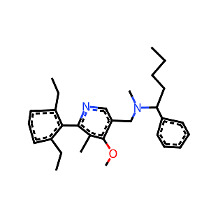 CCCCC(c1ccccc1)N(C)Cc1cnc(-c2c(CC)cccc2CC)c(C)c1OC